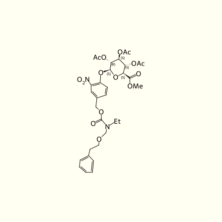 CCN(COCCc1ccccc1)C(=O)OCc1ccc(O[C@@H]2O[C@H](C(=O)OC)[C@@H](OC(C)=O)[C@H](OC(C)=O)[C@H]2OC(C)=O)c([N+](=O)[O-])c1